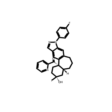 O=C(c1ccccn1)[C@@]12CC[C@](O)(I)C[C@H]1CCCc1cc3c(cnn3-c3ccc(F)cc3)cc12